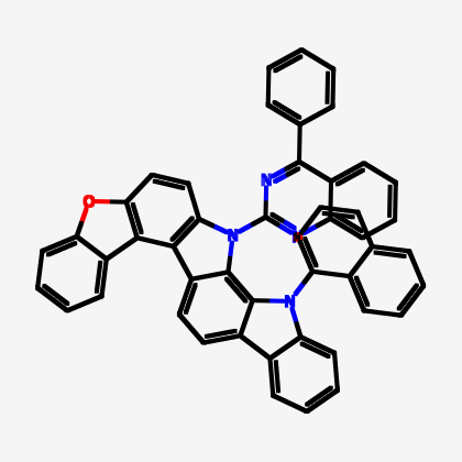 c1ccc(-c2nc(-n3c4ccc5oc6ccccc6c5c4c4ccc5c6ccccc6n(-c6cccc7ccccc67)c5c43)nc3ccccc23)cc1